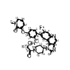 Cc1nc2cnc3cc(F)c(-c4ccc(Oc5cccn(C)c5=O)cc4Cl)cc3c2n1C1CCN(C(=O)[C@H](C)O)CC1